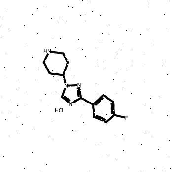 Cl.Fc1ccc(-c2ncn(C3CCNCC3)n2)cc1